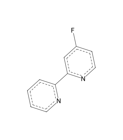 Fc1ccnc(-c2ccccn2)c1